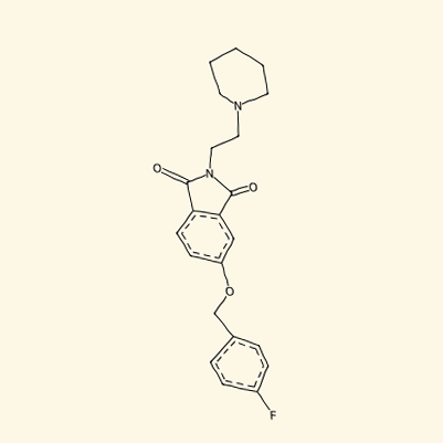 O=C1c2ccc(OCc3ccc(F)cc3)cc2C(=O)N1CCN1CCCCC1